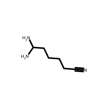 N#CCCCCC(N)N